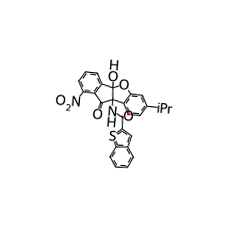 CC(C)c1ccc2c(c1)OC1(O)c3cccc([N+](=O)[O-])c3C(=O)C21NC(=O)c1cc2ccccc2s1